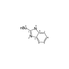 CCCCC1=Nc2ccccc2[N]1